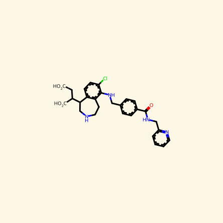 O=C(O)CC(C(=O)O)C1CNCCc2c1ccc(Cl)c2NCc1ccc(C(=O)NCc2ccccn2)cc1